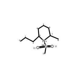 CCCC1CCCC(C)N1S(C)(=O)=O